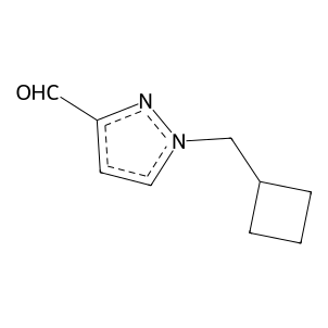 O=Cc1ccn(CC2CCC2)n1